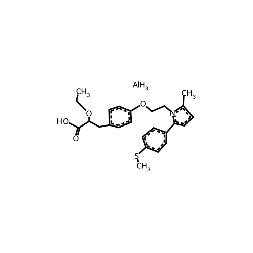 CCOC(Cc1ccc(OCCn2c(C)ccc2-c2ccc(SC)cc2)cc1)C(=O)O.[AlH3]